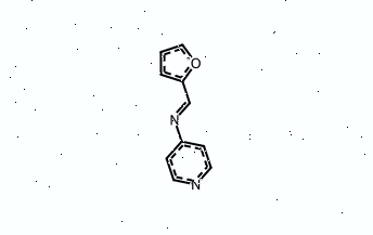 C(=Nc1ccncc1)c1ccco1